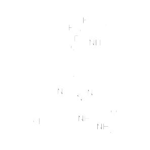 N#C[C@@H]1C[C@H](C(=O)N[C@@H](C2CC2)C(F)(F)F)CCC1n1cc(C(N)=O)c(Nc2ccc(Cl)cc2)n1